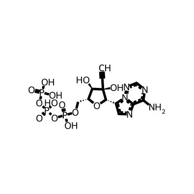 C#C[C@@]1(O)[C@H](O)[C@@H](COP(=O)(O)OP(=O)(O)OP(=O)(O)O)O[C@H]1c1cnc2c(N)ncnn12